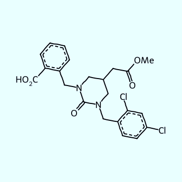 COC(=O)CC1CN(Cc2ccc(Cl)cc2Cl)C(=O)N(Cc2ccccc2C(=O)O)C1